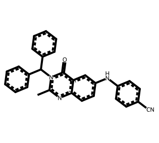 Cc1nc2ccc(Nc3ccc(C#N)cc3)cc2c(=O)n1C(c1ccccc1)c1ccccc1